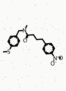 CSc1ccc(CN(C)C(=O)CCCc2ccc([N+](=O)[O-])cc2)cc1